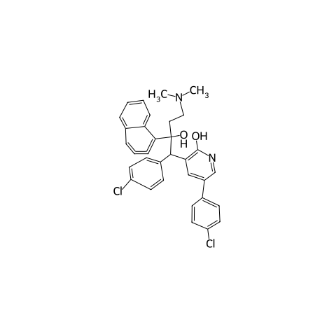 CN(C)CCC(O)(C1=C=C=Cc2ccccc21)C(c1ccc(Cl)cc1)c1cc(-c2ccc(Cl)cc2)cnc1O